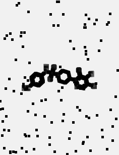 N#Cc1ccc(NS(=O)(=O)N2CCC(n3ncc(Cl)c(Cl)c3=O)CC2)cc1